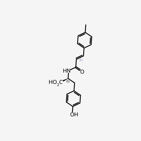 Cc1ccc(/C=C/C(=O)N[C@@H](Cc2ccc(O)cc2)C(=O)O)cc1